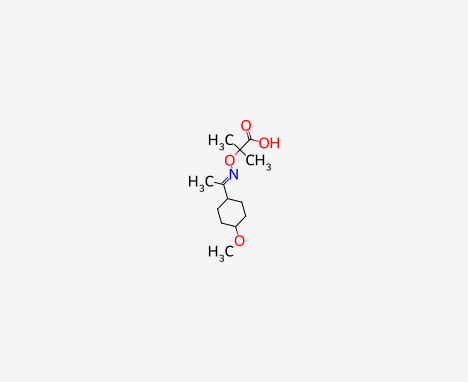 COC1CCC(/C(C)=N/OC(C)(C)C(=O)O)CC1